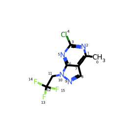 Cc1nc(Cl)nc2c1cnn2CC(F)(F)F